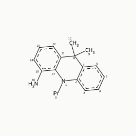 CC(C)N1c2ccccc2C(C)(C)c2cccc(N)c21